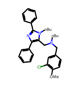 CCCCN(Cc1ccc(OC)c(Cl)c1)Cc1c(-c2ccccc2)nc(-c2ccccc2)n1CCCC